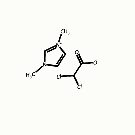 Cn1cc[n+](C)c1.O=C([O-])C(Cl)Cl